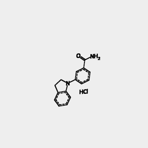 Cl.NC(=O)c1cccc(N2CCc3ccccc32)c1